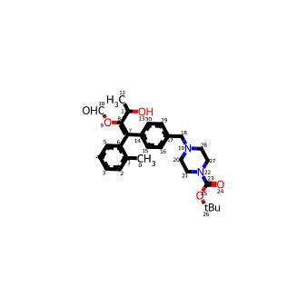 Cc1ccccc1/C(=C(\OC=O)C(C)O)c1ccc(CN2CCN(C(=O)OC(C)(C)C)CC2)cc1